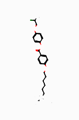 CCCCCCC(Cl)COc1ccc(OC(=O)c2ccc(OCCCCCC[Si](C)(C)C)cc2)cc1